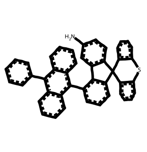 Nc1ccc2c(c1)-c1c(-c3c4ccccc4c(-c4ccccc4)c4ccccc34)cccc1C21c2ccccc2Sc2ccccc21